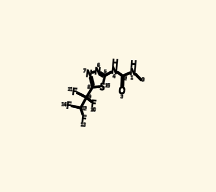 CNC(=O)Nc1nnc(C(F)(F)C(F)F)s1